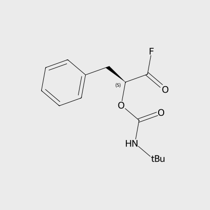 CC(C)(C)NC(=O)O[C@@H](Cc1ccccc1)C(=O)F